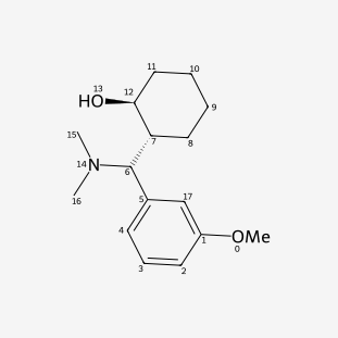 COc1cccc(C([C@H]2CCCC[C@@H]2O)N(C)C)c1